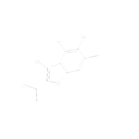 [2H]c1cc2oc(C(C)Cl)c([2H])c2c([2H])c1[2H]